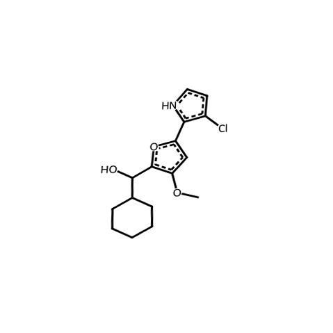 COc1cc(-c2[nH]ccc2Cl)oc1C(O)C1CCCCC1